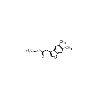 CCOC(=O)Cc1coc2cc(C)c(C)cc12